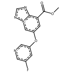 COC(=O)c1cc(Oc2cncc(F)c2)cn2ncnc12